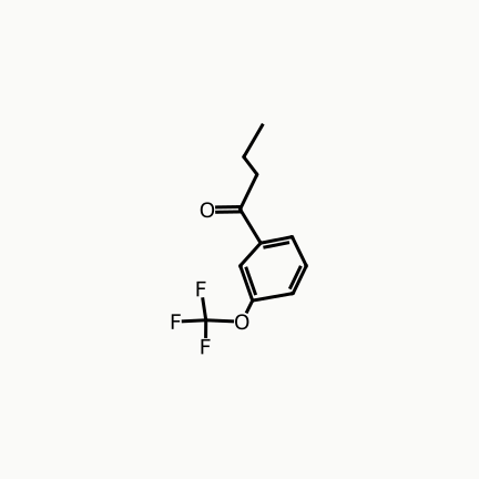 CCCC(=O)c1cccc(OC(F)(F)F)c1